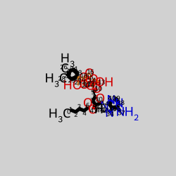 CCCCCC1OC2[C@@H](COP(=O)(O)OP(=O)(O)OP(=O)(O)c3ccc(C)c(C)c3)O[C@@H](n3cnc4c(N)ncnc43)[C@H]2O1